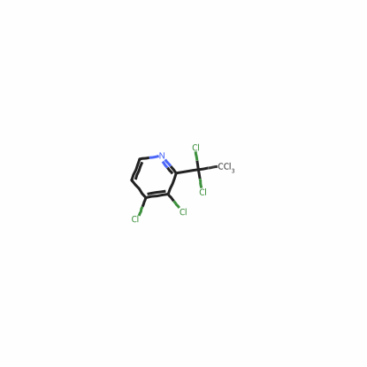 Clc1ccnc(C(Cl)(Cl)C(Cl)(Cl)Cl)c1Cl